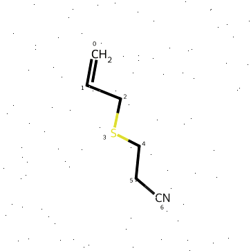 C=CCSC[CH]C#N